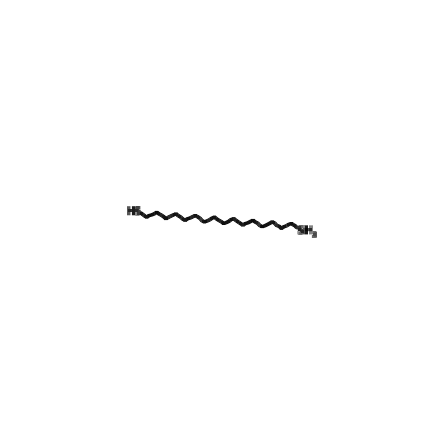 [SiH3]CCCCCCCCCCCCCCCCS